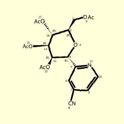 CC(=O)OC[C@H]1O[C@H](c2cc(C#N)ccn2)[C@@H](OC(C)=O)[C@@H](OC(C)=O)[C@@H]1OC(C)=O